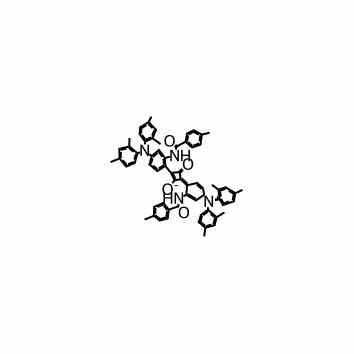 Cc1ccc(C(=O)NC2=CC(=[N+](c3ccc(C)cc3C)c3ccc(C)cc3C)C=C/C2=C2\C(=O)C(c3ccc(N(c4ccc(C)cc4C)c4ccc(C)cc4C)cc3NC(=O)c3ccc(C)cc3)=C2[O-])cc1